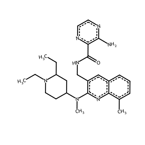 CCC1CC(N(C)c2nc3c(C)cccc3cc2CNC(=O)c2nccnc2N)CCN1CC